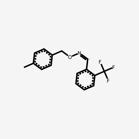 Cc1ccc(CO/N=[C]\c2ccccc2C(F)(F)F)cc1